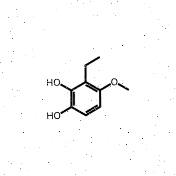 CCc1c(OC)ccc(O)c1O